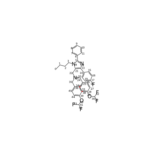 CCCCn1c(-c2ccccc2)nc(-c2ccc(F)cc2)c1CN(Cc1ccc(OC(F)F)cc1)Cc1ccc(OC(F)F)cc1